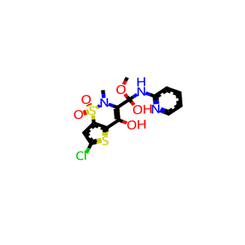 COC(O)(Nc1ccccn1)C1=C(O)c2sc(Cl)cc2S(=O)(=O)N1C